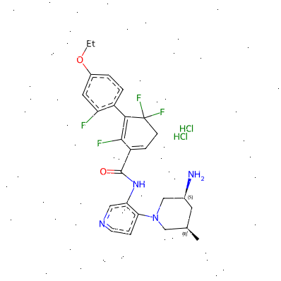 CCOc1ccc(C2=C(F)C(C(=O)Nc3cnccc3N3C[C@H](C)C[C@H](N)C3)=CCC2(F)F)c(F)c1.Cl.Cl